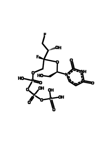 O=c1ccn([C@@H](CO)O[C@](F)(COP(=O)(O)OP(=O)(O)OP(=O)(O)O)[C@@H](O)CF)c(=O)[nH]1